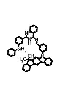 CC1(C)c2ccccc2-c2cc3c4ccccc4n(-c4cccc(/C=N/C(NC(N)c5cccc([SiH2]c6ccccc6)c5)c5ccccc5)c4)c3cc21